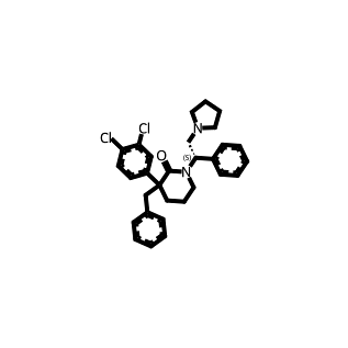 O=C1N([C@H](CN2CCCC2)c2ccccc2)CCCC1(Cc1ccccc1)c1ccc(Cl)c(Cl)c1